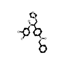 [O-][S+](Cc1ccccc1)c1ccc(C(Cn2ccnc2)[S+]([O-])c2ccc(Cl)c(Cl)c2)cc1